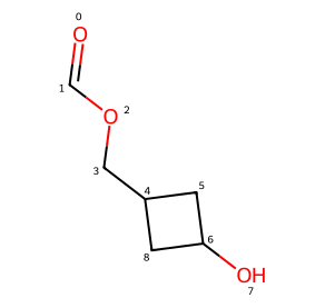 O=COCC1CC(O)C1